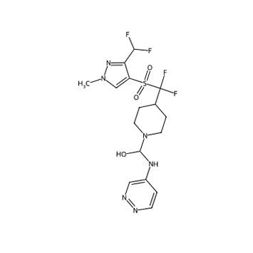 Cn1cc(S(=O)(=O)C(F)(F)C2CCN(C(O)Nc3ccnnc3)CC2)c(C(F)F)n1